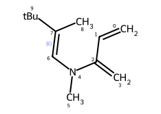 C=CC(=C)N(C)/C=C(\C)C(C)(C)C